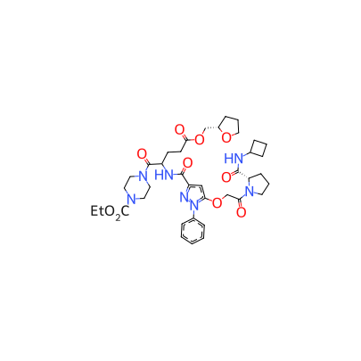 CCOC(=O)N1CCN(C(=O)C(CCC(=O)OC[C@@H]2CCCO2)NC(=O)c2cc(OCC(=O)N3CCC[C@H]3C(=O)NC3CCC3)n(-c3ccccc3)n2)CC1